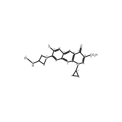 CCNC1CN(c2cc3nc4c(cc3cc2F)c(=O)c(C(=O)O)cn4C2CC2)C1